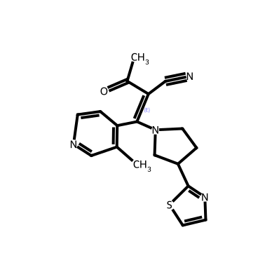 CC(=O)/C(C#N)=C(\c1ccncc1C)N1CCC(c2nccs2)C1